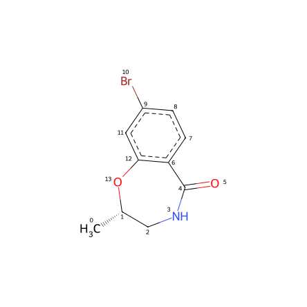 C[C@H]1CNC(=O)c2ccc(Br)cc2O1